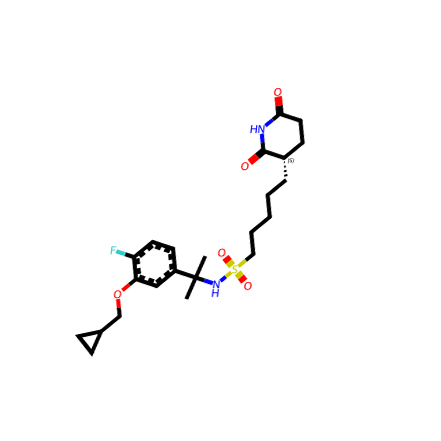 CC(C)(NS(=O)(=O)CCCCC[C@H]1CCC(=O)NC1=O)c1ccc(F)c(OCC2CC2)c1